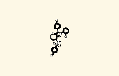 O=S(=O)(NC1CCCOc2c1nn(-c1ccccc1Cl)c2-c1ccc(Cl)cc1)c1ccc(Cl)cc1